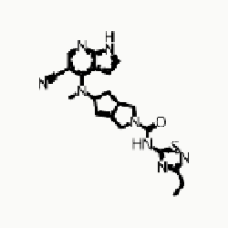 CCc1nsc(NC(=O)N2CC3=CC(N(C)c4c(C#N)cnc5[nH]ccc45)CC3C2)n1